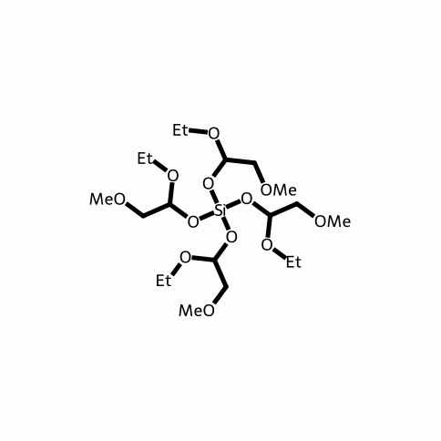 CCOC(COC)O[Si](OC(COC)OCC)(OC(COC)OCC)OC(COC)OCC